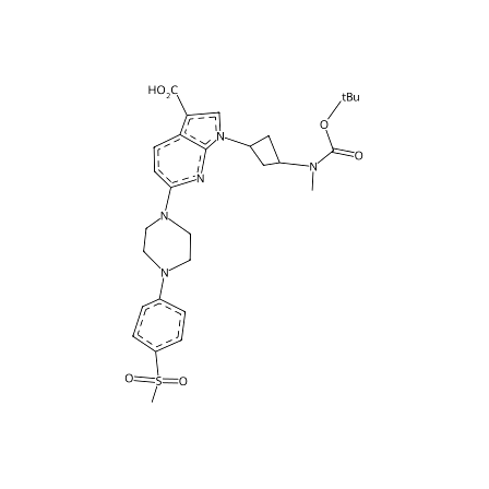 CN(C(=O)OC(C)(C)C)C1CC(n2cc(C(=O)O)c3ccc(N4CCN(c5ccc(S(C)(=O)=O)cc5)CC4)nc32)C1